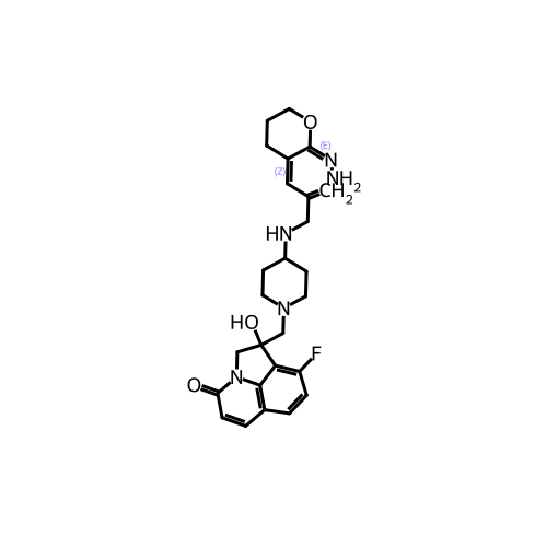 C=C(/C=C1/CCCO/C1=N/N)CNC1CCN(CC2(O)Cn3c(=O)ccc4ccc(F)c2c43)CC1